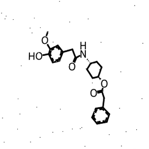 COc1cc(CC(=O)N[C@H]2CC[C@H](OC(=O)Cc3ccccc3)CC2)ccc1O